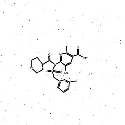 CCCC(=O)c1cc(C#N)c(N(C(=O)C2CCNCC2)S(=O)(=O)Cc2cccc(F)c2)nc1C